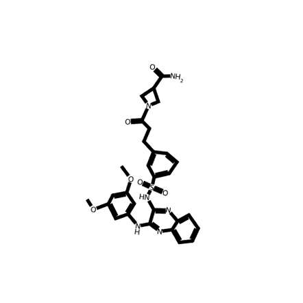 COc1cc(Nc2nc3ccccc3nc2NS(=O)(=O)c2cccc(CCC(=O)N3CC(C(N)=O)C3)c2)cc(OC)c1